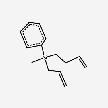 C=CCC[Si](C)(CC=C)c1ccccc1